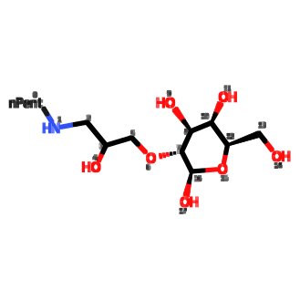 CCCCCNCC(O)CO[C@@H]1[C@@H](O)[C@@H](O)[C@@H](CO)O[C@H]1O